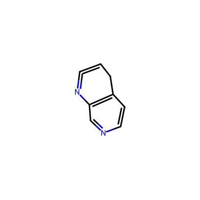 C1=CCc2ccncc2N=1